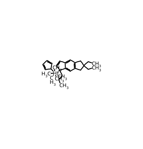 CCC[C]1([Hf]([CH3])([CH3])([CH3])([CH3])([CH3])[CH]2C=CC=C2)C=Cc2cc3c(cc21)CC(CC)(CC)C3